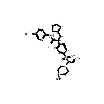 C=CC(N1CCN(C)CC1)S(=O)(=O)c1ccc(C(CC2CCCC2)C(=O)Nc2ccc(C(=O)O)cn2)cc1